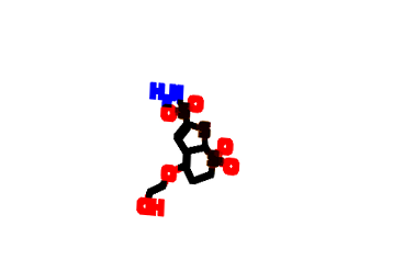 NS(=O)(=O)C1=CC2=C(OCCO)CCS(=O)(=O)C2S1